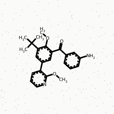 COc1ncccc1-c1cc(C(=O)c2cccc(N)c2)c(OC)c(C(C)(C)C)c1